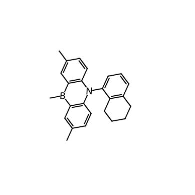 CB1c2cc(C)ccc2N(c2cccc3c2CCCC3)c2ccc(C)cc21